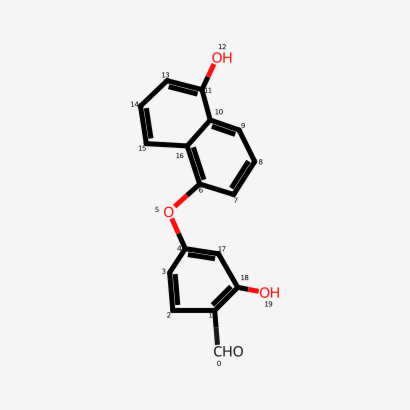 O=Cc1ccc(Oc2cccc3c(O)cccc23)cc1O